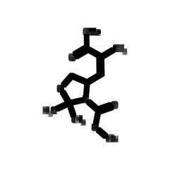 COC(=O)/C(C)=C\C1COC(C)(C)N1C(=O)OC(C)(C)C